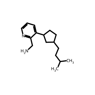 CC(C)CCC1CCC(c2cccnc2CN)C1